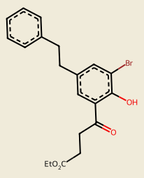 CCOC(=O)CCC(=O)c1cc(CCc2ccccc2)cc(Br)c1O